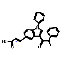 CC(C(=O)c1cn(-c2ccccc2)c2ccc(/C=C/C(=O)O)cc12)c1ccccc1